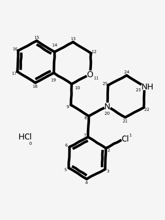 Cl.Clc1ccccc1C(CC1OCCc2ccccc21)N1CCNCC1